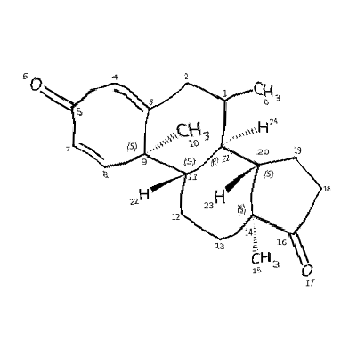 CC1CC2=CC(=O)C=C[C@]2(C)[C@H]2CC[C@]3(C)C(=O)CC[C@H]3[C@H]12